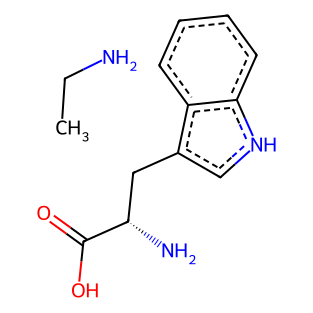 CCN.N[C@@H](Cc1c[nH]c2ccccc12)C(=O)O